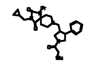 CC(C)N1C(=O)N(CC2CC2)C(=O)C12CCN(CC1CN(C(=O)CC(C)(C)C)CC1c1ccccc1)CC2